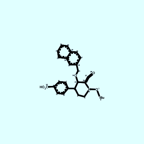 CC(C)(C)ON1CCC(c2ccc(C(=O)O)cc2)C(OCc2ccc3ccccc3c2)C1=C=O